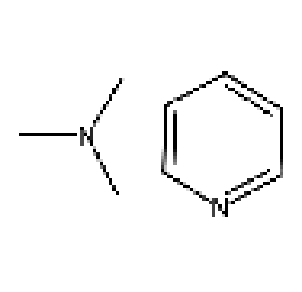 CN(C)C.c1ccncc1